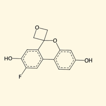 Oc1ccc2c(c1)OC1(COC1)c1cc(O)c(F)cc1-2